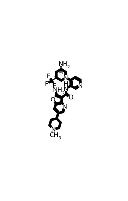 CN1CCC(c2cnc3c(C(=O)Nc4cnccc4N4C[C@H](N)C[C@H](C(F)(F)F)C4)c(N)oc3c2)CC1